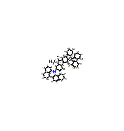 CC1(C)c2cc(N(c3cccc4ccccc34)c3cccc4ccccc34)ccc2-c2c1ccc1c2Sc2ccccc2[Si]1(c1ccccc1)c1ccccc1